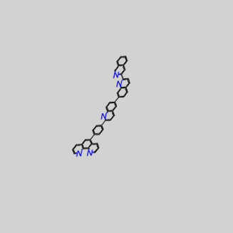 c1ccc2cc(-c3ccc4ccc(-c5ccc6nc(-c7ccc(-c8cc9cccnc9c9ncccc89)cc7)ccc6c5)cc4n3)ncc2c1